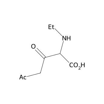 CCNC(C(=O)O)C(=O)CC(C)=O